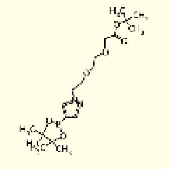 CC(C)(C)OC(=O)COCCOCCn1cc(B2OC(C)(C)C(C)(C)O2)cn1